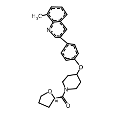 Cc1cccc2cc(-c3ccc(OC4CCN(C(=O)[C@H]5CCCO5)CC4)cc3)cnc12